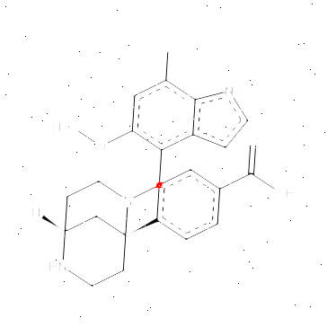 COc1cc(C)c2[nH]ccc2c1CN1CC[C@@H]2C[C@@]1(c1ccc(C(=O)O)cc1)CCN2